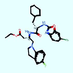 CCOC(=O)C[C@@H](CN1CCc2cc(F)ccc21)NC(=O)[C@H](CC1CCCCC1)Nc1nc2ccc(Cl)cc2o1